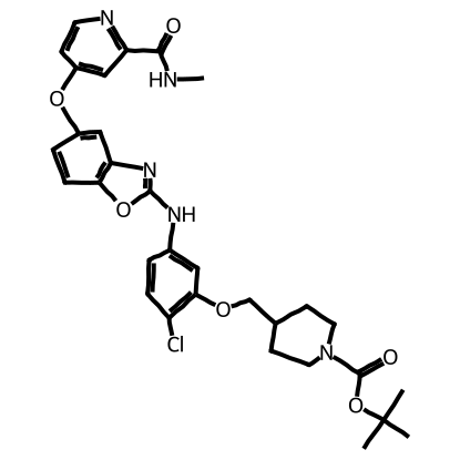 CNC(=O)c1cc(Oc2ccc3oc(Nc4ccc(Cl)c(OCC5CCN(C(=O)OC(C)(C)C)CC5)c4)nc3c2)ccn1